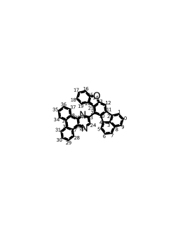 c1cc2c3c(cccc3c1)-c1c-2cc2oc3ccccc3c2c1-c1cnc2c3ccccc3c3ccccc3c2n1